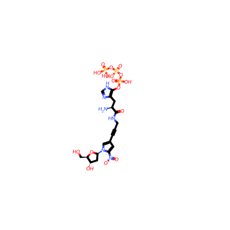 N[C@@H](Cc1nc[nH]c1OP(=O)(O)OP(=O)(O)OP(=O)(O)O)C(=O)NCC#Cc1cc([N+](=O)[O-])n([C@H]2C[C@H](O)[C@@H](CO)O2)c1